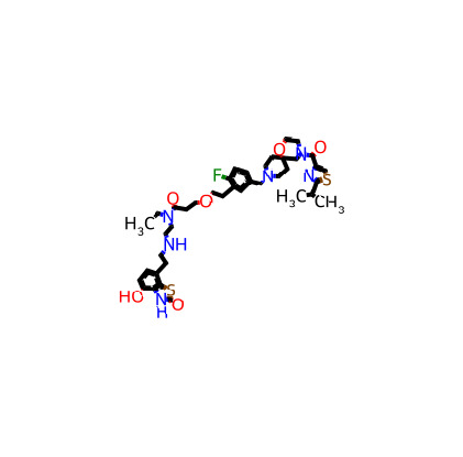 CCN(CCNCCc1ccc(O)c2[nH]c(=O)sc12)C(=O)CCOCCc1cc(CN2CCC3(CC2)CN(C(=O)c2csc(C(C)C)n2)CCO3)ccc1F